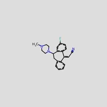 CN1CCN(C2Cc3ccccc3/C(=C/C#N)c3ccc(F)cc32)CC1